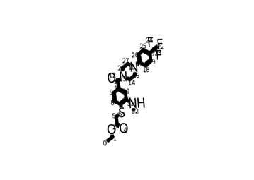 CCOC(=O)CSc1ccc(C(=O)N2CCN(c3ccc(C(F)(F)F)cc3)CC2)cc1NC